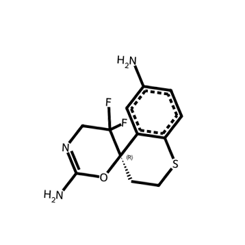 NC1=NCC(F)(F)[C@]2(CCSc3ccc(N)cc32)O1